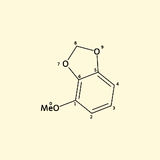 COc1cccc2c1OCO2